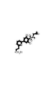 CCOC(=O)CCc1cccc(-c2cc(Cl)c(S(=O)(=O)N(C)CC3CO3)c(Cl)c2)n1